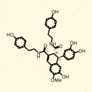 COc1cc2c(cc1O)[C@H](c1ccc(O)c(O)c1)[C@@H](C(=O)NCCc1ccc(O)cc1)C(C(=O)NCCc1ccc(O)cc1)=C2